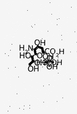 N[C@@H]1[C@@H](O)CC(O)(C(=O)O)O[C@H]1C(O)C(O)CO.O=P(O)(O)O